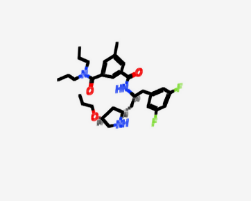 CCCO[C@H]1CN[C@@H](C[C@H](Cc2cc(F)cc(F)c2)NC(=O)c2cc(C)cc(C(=O)N(CCC)CCC)c2)C1